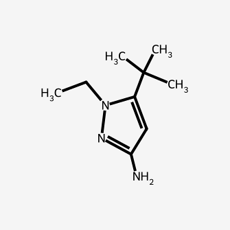 CCn1nc(N)cc1C(C)(C)C